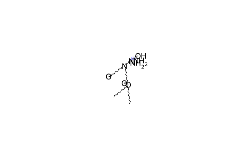 CCCCCCCCC(CCCCCCCC)OC(=O)CCCCCCCN(CCCCCCCC=O)CCCN(N)/C=C(\N)CO